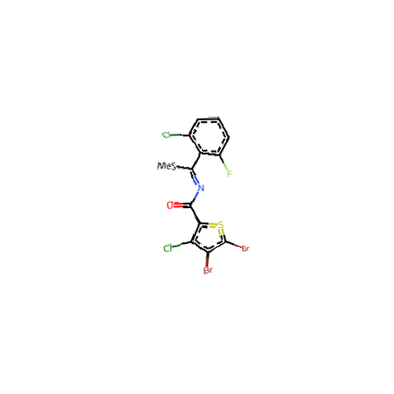 CSC(=NC(=O)c1sc(Br)c(Br)c1Cl)c1c(F)cccc1Cl